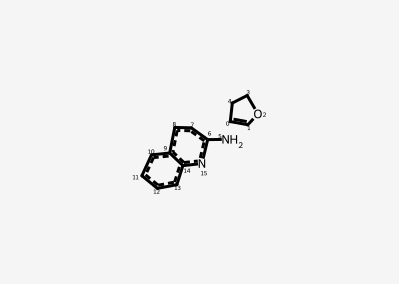 C1=COCC1.Nc1ccc2ccccc2n1